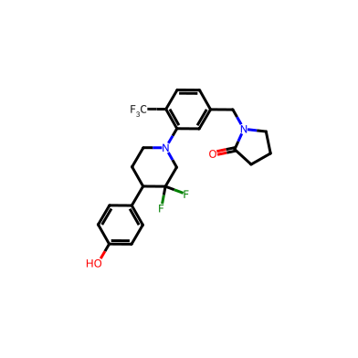 O=C1CCCN1Cc1ccc(C(F)(F)F)c(N2CCC(c3ccc(O)cc3)C(F)(F)C2)c1